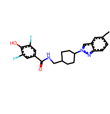 Cc1ccc2nn(C3CCC(CNC(=O)c4cc(F)c(O)c(F)c4)CC3)cc2c1